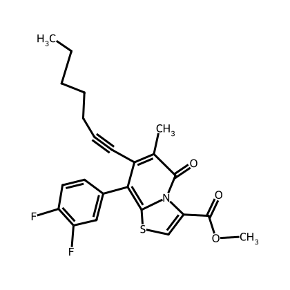 CCCCCC#Cc1c(C)c(=O)n2c(C(=O)OC)csc2c1-c1ccc(F)c(F)c1